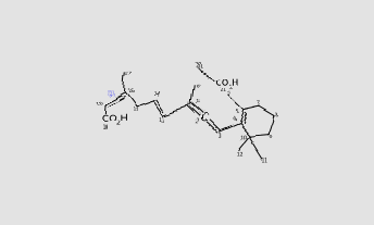 CC(=C=CC1=C(C)CCCC1(C)C)C=CC/C(C)=C\C(=O)O.CC(=O)O